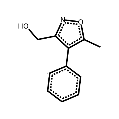 Cc1onc(CO)c1-c1[c]cccc1